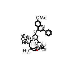 C=CC1CC1(N)N/C1=N\S(=O)(=O)CCCCCC(NC(=O)OC(C)(C)C)C(=O)N2CC(Oc3cc(-c4ccccc4)nc4cc(OC)ccc34)CC12